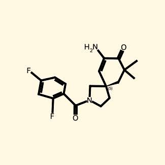 CC1(C)C[C@@]2(C=C(N)C1=O)CCN(C(=O)c1ccc(F)cc1F)C2